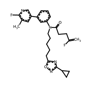 C=C(F)CCC(=O)N(CCCCCc1nc(C2CC2)no1)c1cccc(-c2cnc(F)c(C)c2)c1